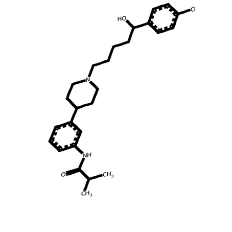 CC(C)C(=O)Nc1cccc(C2CCN(CCCCC(O)c3ccc(Cl)cc3)CC2)c1